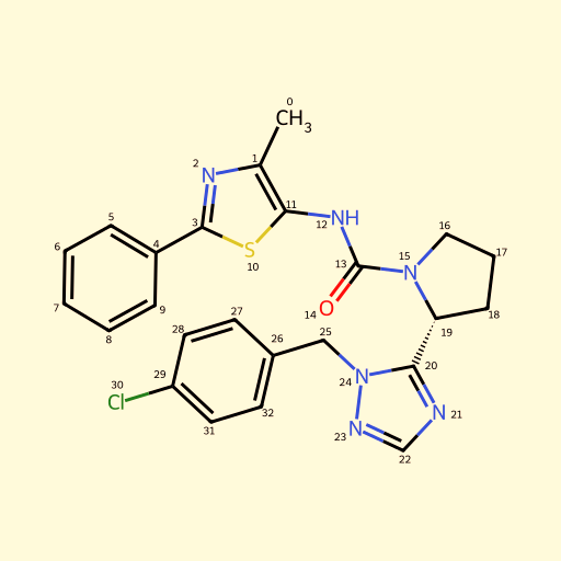 Cc1nc(-c2ccccc2)sc1NC(=O)N1CCC[C@@H]1c1ncnn1Cc1ccc(Cl)cc1